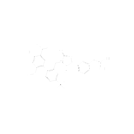 COc1cc(F)c(C(C)C)cc1-c1ccc(C(F)(F)F)cc1CN1C(=O)O[C@H](c2cccc(CN(C)C)c2)[C@@H]1C